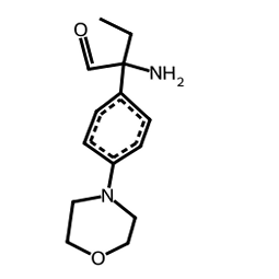 CCC(N)(C=O)c1ccc(N2CCOCC2)cc1